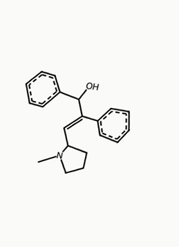 CN1CCCC1/C=C(\c1ccccc1)C(O)c1ccccc1